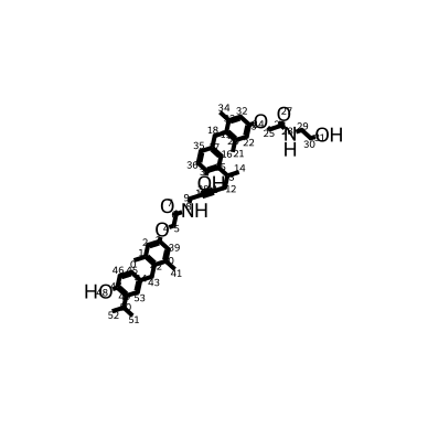 Cc1cc(OCC(=O)NCC#CCC(C)c2cc(Cc3c(C)cc(OCC(=O)NCCO)cc3C)ccc2O)cc(C)c1Cc1ccc(O)c(C(C)C)c1